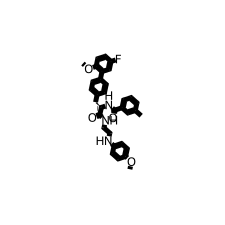 COc1ccc(NCCNC(=O)[C@H](Cc2ccc(-c3cc(F)ccc3OC)cc2)NC(=O)c2cccc(C)c2)cc1